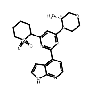 C[C@@H]1COCCN1c1cc(C2CCCCS2(=O)=O)nc(-c2ccnc3[nH]ccc23)n1